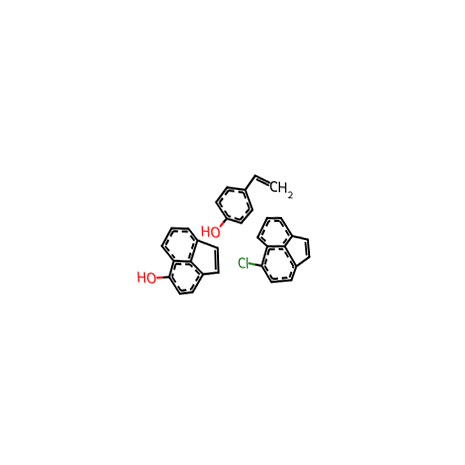 C=Cc1ccc(O)cc1.Clc1ccc2c3c(cccc13)C=C2.Oc1ccc2c3c(cccc13)C=C2